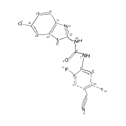 N#Cc1cc(F)c(NC(=O)Nc2nc3ccc(Cl)cc3s2)cc1F